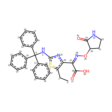 CCc1sc(NC(c2ccccc2)(c2ccccc2)c2ccccc2)nc1C(=NOC1CCNC1=O)C(=O)O